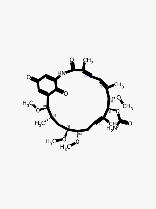 CO[C@H]1C/C=C(\C)[C@H](OC(N)=O)[C@@H](OC)/C(C)=C\C=C(/C)C(=O)NC2=CC(=O)C=C(C2=O)[C@H](OC)[C@@H](C)C[C@@H]1OC